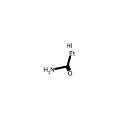 CCC(N)=O.I